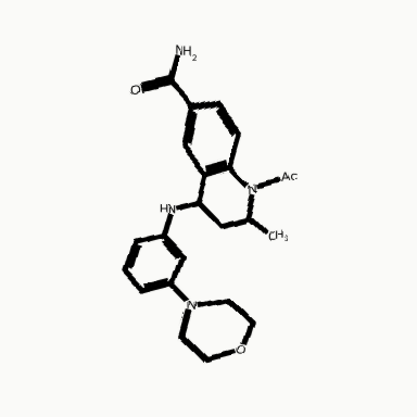 CC(=O)N1c2ccc(C(N)=O)cc2C(Nc2cccc(N3CCOCC3)c2)CC1C